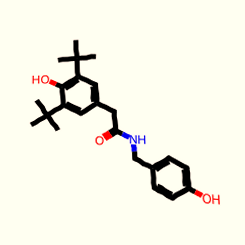 CC(C)(C)c1cc(CC(=O)NCc2ccc(O)cc2)cc(C(C)(C)C)c1O